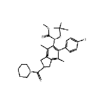 COC(=O)[C@@H](OC(C)(C)C)c1c(C)c2c(c(C)c1-c1ccc(Cl)cc1)CN(C(=O)N1CCCCC1)C2